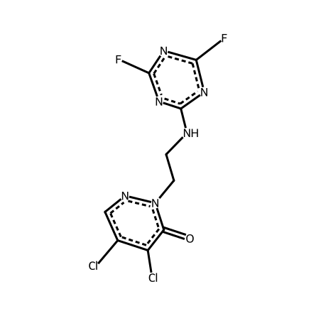 O=c1c(Cl)c(Cl)cnn1CCNc1nc(F)nc(F)n1